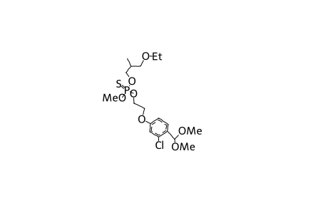 CCOCC(C)COP(=S)(OC)OCCOc1ccc(C(OC)OC)c(Cl)c1